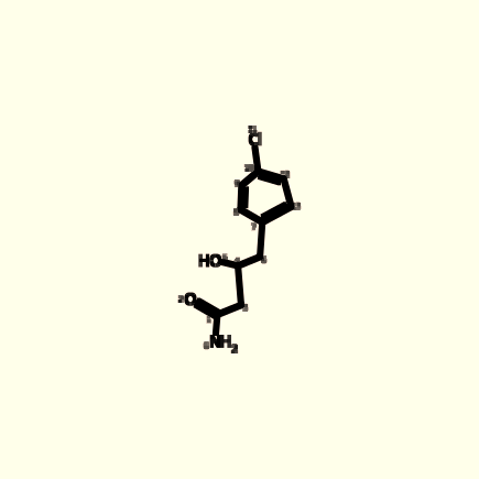 NC(=O)CC(O)Cc1ccc(Cl)cc1